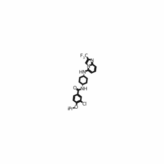 CC(C)Oc1ccc(C(=O)N[C@H]2CC[C@@H](Nc3cccc4nc(C(F)(F)F)cn34)CC2)cc1Cl